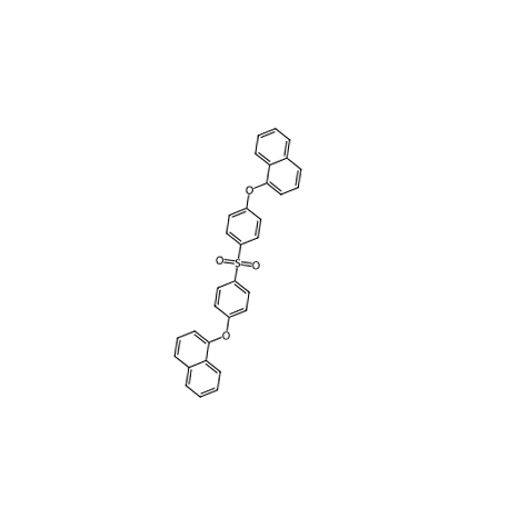 O=S(=O)(c1ccc(Oc2cccc3ccccc23)cc1)c1ccc(Oc2cccc3ccccc23)cc1